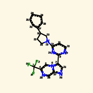 FC(F)(F)c1cn2c(-c3nccc(N4CCC(c5ccccc5)C4)n3)cnc2cn1